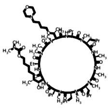 CC[C@@H]1NC(=O)[C@H]([C@H](O)[C@H](C)CCCCCOC(=O)N(C)C)NC(=O)[C@H](C(C)C)N(C)C(=O)[C@H](CC(C)C)N(C)C(=O)[C@H](CC(C)C)N(C)C(=O)[C@@H](C)NC(=O)[C@H](C)NC(=O)[C@H](CC(C)C)N(C)C(=O)[C@H](C(C)C)NC(=O)[C@H]([C@@H](C)OCCCCN2CCOCC2)N(C)C(=O)[C@@H](C)N(C)C1=O